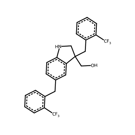 OCC1(Cc2ccccc2C(F)(F)F)CNc2ccc(Cc3ccccc3C(F)(F)F)cc21